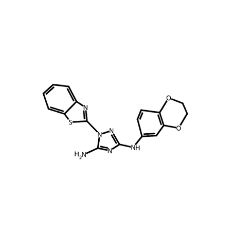 Nc1nc(Nc2ccc3c(c2)OCCO3)nn1-c1nc2ccccc2s1